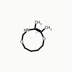 C/C1=C(\C)OCCCCOCN1